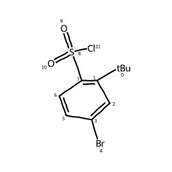 CC(C)(C)c1cc(Br)ccc1S(=O)(=O)Cl